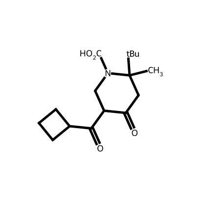 CC(C)(C)C1(C)CC(=O)C(C(=O)C2CCC2)CN1C(=O)O